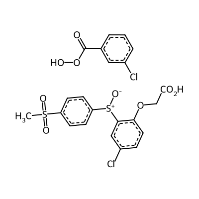 CS(=O)(=O)c1ccc([S+]([O-])c2cc(Cl)ccc2OCC(=O)O)cc1.O=C(OO)c1cccc(Cl)c1